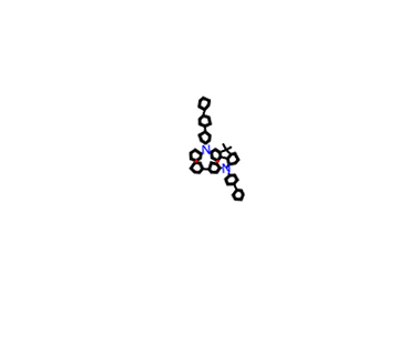 CC1(C)c2cc(N(c3ccccc3)c3ccc(-c4ccc(-c5ccccc5)cc4)cc3)ccc2-c2c(N(c3ccc(-c4ccccc4)cc3)c3ccc(-c4ccccc4)cc3)cccc21